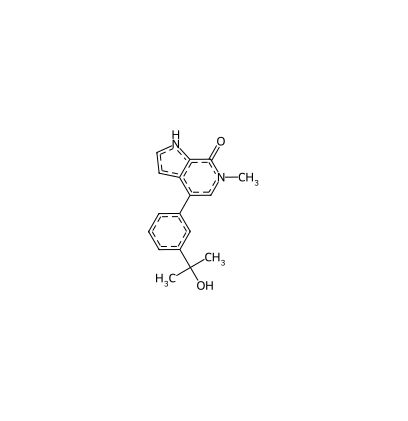 Cn1cc(-c2cccc(C(C)(C)O)c2)c2cc[nH]c2c1=O